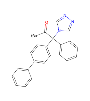 CC(C)(C)C(=O)C(c1ccccc1)(c1ccc(-c2ccccc2)cc1)n1cnnc1